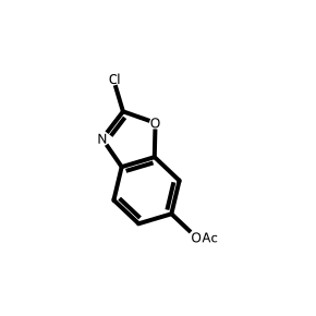 CC(=O)Oc1ccc2nc(Cl)oc2c1